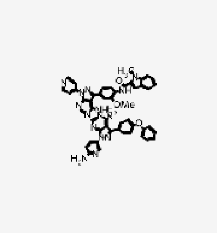 COc1cc(-c2nn(-c3ccncc3)c3ncnc(N)c23)ccc1NC(=O)c1cc2ccccc2n1C.Nc1ccc(-n2nc(-c3ccc(Oc4ccccc4)cc3)c3c(N)ncnc32)cn1